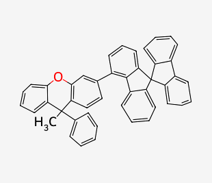 CC1(c2ccccc2)c2ccccc2Oc2cc(-c3cccc4c3-c3ccccc3C43c4ccccc4-c4ccccc43)ccc21